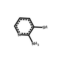 Nc1ncccc1S